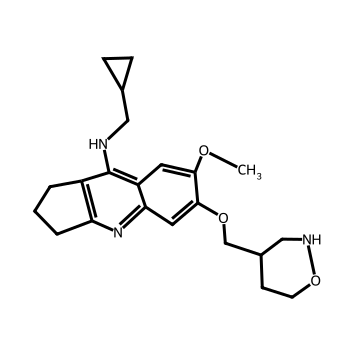 COc1cc2c(NCC3CC3)c3c(nc2cc1OCC1CCONC1)CCC3